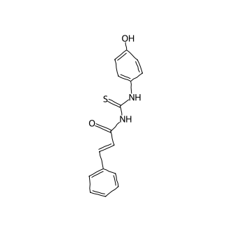 O=C(C=Cc1ccccc1)NC(=S)Nc1ccc(O)cc1